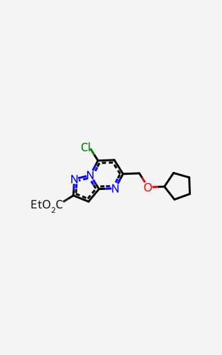 CCOC(=O)c1cc2nc(COC3CCCC3)cc(Cl)n2n1